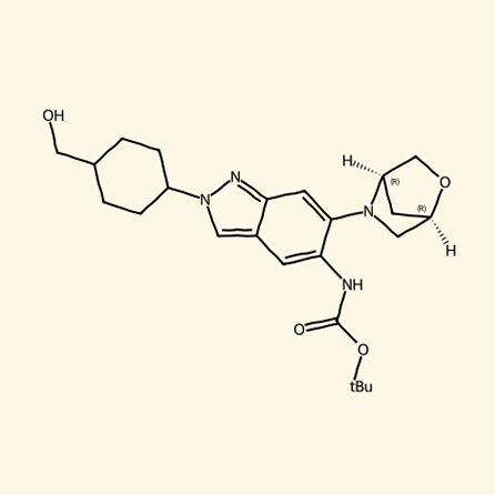 CC(C)(C)OC(=O)Nc1cc2cn(C3CCC(CO)CC3)nc2cc1N1C[C@H]2C[C@@H]1CO2